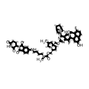 C#Cc1c(F)ccc2cc(O)cc(-c3ncc4c(N5CC6CCC(C5)N6)nc(OC[C@@]56CC[C@@H](COC(=O)N(C)CCCCNc7ccc8c(c7)C(=O)N(C7CCC(=O)NC7=O)C8=O)N5CC(=C)C6)nc4c3F)c12